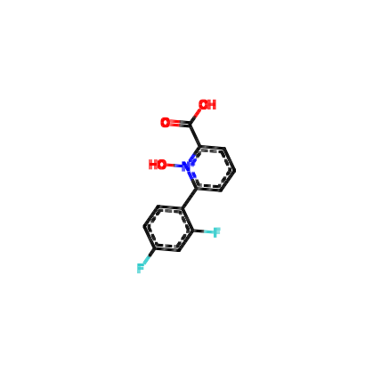 O=C(O)c1cccc(-c2ccc(F)cc2F)[n+]1O